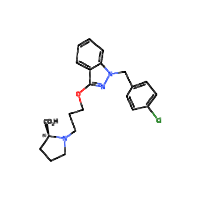 O=C(O)[C@@H]1CCCN1CCCOc1nn(Cc2ccc(Cl)cc2)c2ccccc12